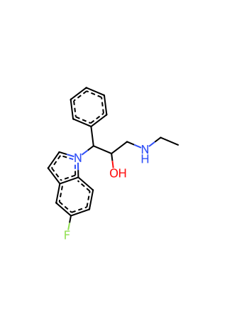 CCNCC(O)C(c1ccccc1)n1ccc2cc(F)ccc21